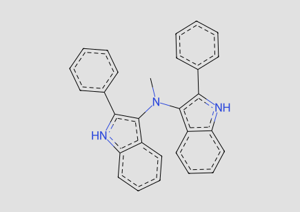 CN(c1c(-c2ccccc2)[nH]c2ccccc12)c1c(-c2ccccc2)[nH]c2ccccc12